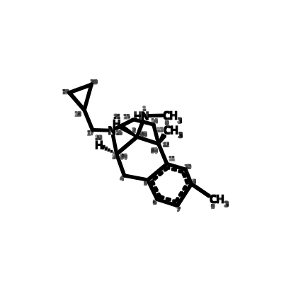 CN[C@H]1[C@H]2Cc3ccc(C)cc3[C@@]1(C)CCN2CC1CC1